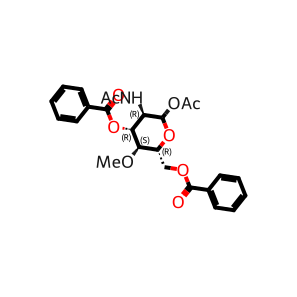 CO[C@H]1[C@H](OC(=O)c2ccccc2)[C@@H](NC(C)=O)C(OC(C)=O)O[C@@H]1COC(=O)c1ccccc1